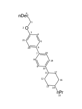 CCCCCCCCCCCOc1ccc(-c2ccc(C3CCC(CCC)CC3)cc2)cc1